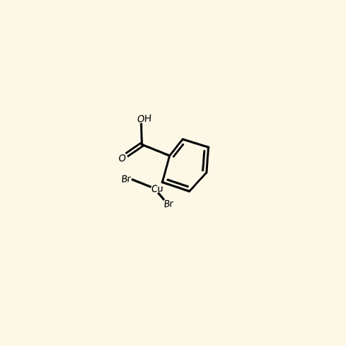 O=C(O)c1ccccc1.[Br][Cu][Br]